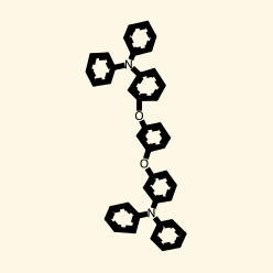 c1ccc(N(c2ccccc2)c2cccc(Oc3cccc(Oc4cccc(N(c5ccccc5)c5ccccc5)c4)c3)c2)cc1